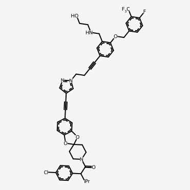 CC(C)C(C(=O)N1CCC2(CC1)Oc1ccc(C#Cc3cnn(CCC#Cc4ccc(OCc5ccc(F)c(C(F)(F)F)c5)c(CNCCO)c4)c3)cc1O2)c1ccc(Cl)cc1